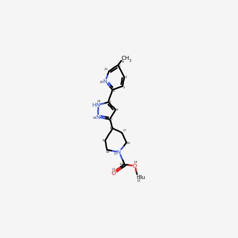 Cc1ccc(-c2cc(C3CCN(C(=O)OC(C)(C)C)CC3)n[nH]2)nc1